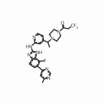 Cc1cc(-c2ccc3nc(Nc4cc(C(C)N5CCN(C(=O)CC(F)(F)F)CC5)ccn4)[nH]c3c2F)ncn1